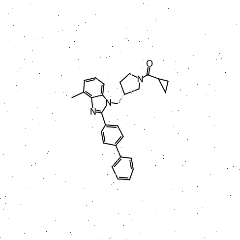 Cc1cccc2c1nc(-c1ccc(-c3ccccc3)cc1)n2C[C@@H]1CCN(C(=O)C2CC2)C1